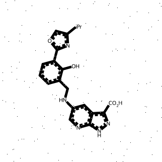 CC(C)c1coc(-c2cccc(CNc3cnc4[nH]nc(C(=O)O)c4c3)c2O)n1